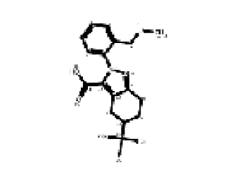 COCc1ccccc1-n1nc2c(c1C(=O)O)CC(C(F)(F)F)CC2